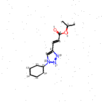 CC(C)OC(=O)/C=C/c1cn(C2CCCCC2)nn1